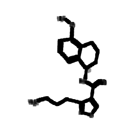 CCCCc1nocc1C(=O)N[C@@H]1CCCc2c(OC)cccc21